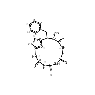 CCCN1C(=O)NCC(=O)NC(=O)NC(=O)Nc2nnc(o2)C1Cc1ccccc1